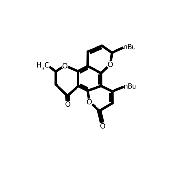 CCCCc1cc(=O)oc2c3c(c4c(c12)OC(CCCC)C=C4)OC(C)CC3=O